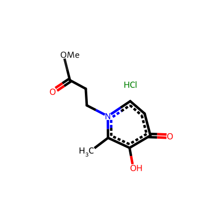 COC(=O)CCn1ccc(=O)c(O)c1C.Cl